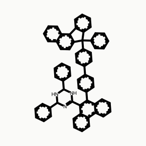 c1ccc(C2N=C(c3c(-c4ccc(-c5ccc(C6(c7ccccc7)c7ccccc7-c7c6ccc6ccccc76)cc5)cc4)c4ccccc4c4ccccc34)NC(c3ccccc3)N2)cc1